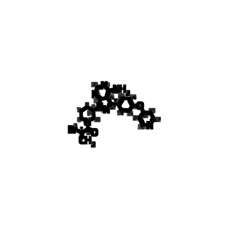 C=C(Br)C(=O)N1CCC[C@@H](n2nc(-c3ccc(Oc4ccncc4)cc3)c3c(N)ncnc32)C1